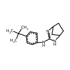 CC(C)(C)c1ccc(NC2=NC3CCC(C3)N2)cc1